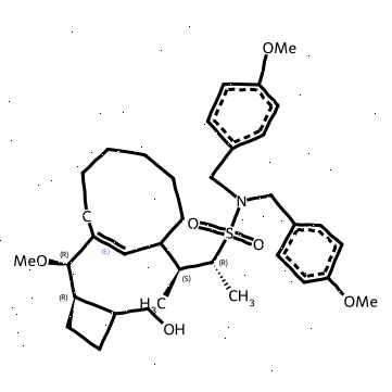 COc1ccc(CN(Cc2ccc(OC)cc2)S(=O)(=O)[C@H](C)[C@@H](C)C2/C=C(/[C@H](OC)[C@@H]3CCC3CO)CCCCCC2)cc1